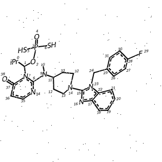 CC(C)C(OP(=O)(S)S)n1c(N(C)C2CCN(c3nc4ccccc4n3Cc3ccc(F)cc3)CC2)nccc1=O